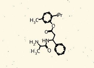 Cc1ccc(C(C)C)c(OC(=O)CC(NC(=O)C(C)N)c2ccccc2)c1